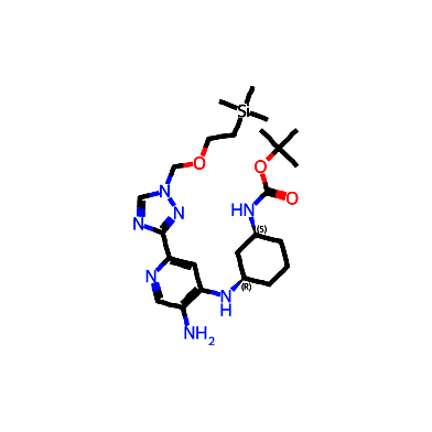 CC(C)(C)OC(=O)N[C@H]1CCC[C@@H](Nc2cc(-c3ncn(COCC[Si](C)(C)C)n3)ncc2N)C1